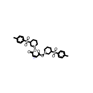 Cc1ccc(S(=O)(=O)C2CCCN(OC(=O)/C=C\C(=O)ON3CCCC(S(=O)(=O)c4ccc(C)cc4)C3)C2)cc1